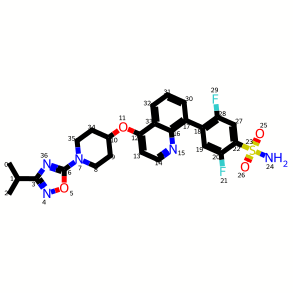 CC(C)c1noc(N2CCC(Oc3ccnc4c(-c5cc(F)c(S(N)(=O)=O)cc5F)cccc34)CC2)n1